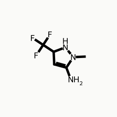 CN1NC(C(F)(F)F)C=C1N